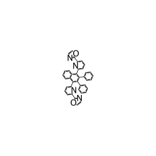 c1ccc(-c2c(-c3ccccc3)c(-c3cccc(-c4ncco4)n3)c3ccccc3c2-c2cccc(-c3ncco3)n2)cc1